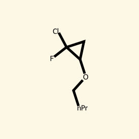 CCCCOC1CC1(F)Cl